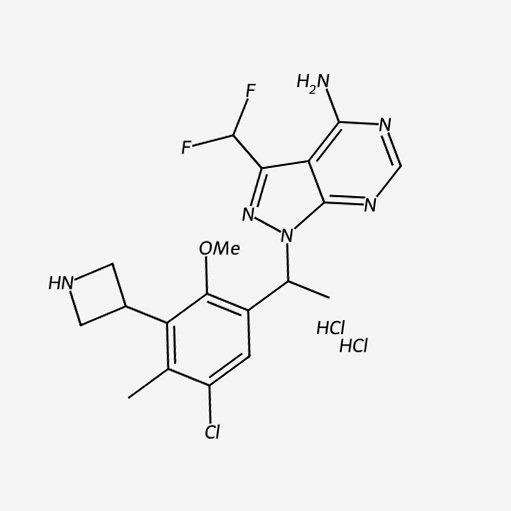 COc1c(C(C)n2nc(C(F)F)c3c(N)ncnc32)cc(Cl)c(C)c1C1CNC1.Cl.Cl